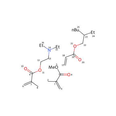 C=C(C)C(=O)OC.C=C(C)C(=O)OCCN(CC)CC.C=CC(=O)OCC(CC)CCCC